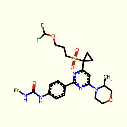 CCNC(=O)Nc1ccc(-c2nc(N3CCOC[C@@H]3C)cc(C3(S(=O)(=O)CCCOC(F)F)CC3)n2)cc1